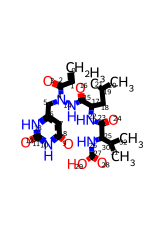 C=CC(=O)N(Cc1cc(=O)[nH]c(=O)[nH]1)NC(=O)C(CC(C)C)NC(=O)C(NC(=O)O)C(C)C